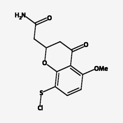 COc1ccc(SCl)c2c1C(=O)CC(CC(N)=O)O2